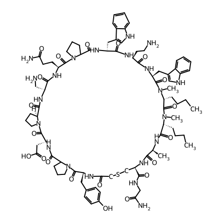 CCCC[C@@H]1C(=O)N(C)[C@H](CCCC)C(=O)N[C@@H](C)C(=O)N[C@@H](C(=O)NCC(N)=O)CSCC(=O)N[C@@H](Cc2ccc(O)cc2)C(=O)N2CCCC2C(=O)N[C@H](CC(=O)O)C(=O)N2CCC[C@H]2C(=O)N[C@H](CN)C(=O)N[C@@H](CCC(N)=O)C(=O)N2CCCC2C(=O)N[C@H](Cc2c[nH]c3ccccc23)C(=O)N[C@@H](CCN)C(=O)N[C@@H](Cc2c[nH]c3ccccc23)C(=O)N1C